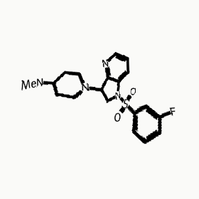 CNC1CCN(C2CN(S(=O)(=O)c3cccc(F)c3)c3cccnc32)CC1